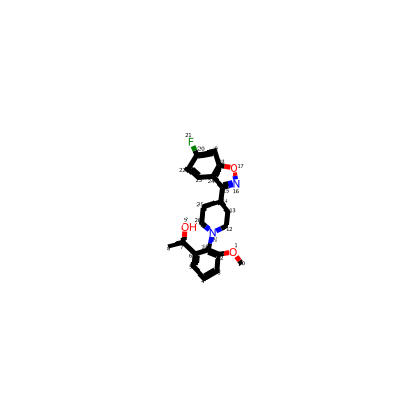 COc1cccc(C(C)O)c1N1CCC(c2noc3cc(F)ccc23)CC1